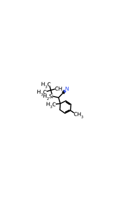 CC1=CCC(C)(C(C#N)[SiH2]C(C)(C)C)C=C1